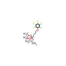 CC(C)O[Si](O)(CCCCOc1c(F)c(F)c(F)c(F)c1F)OC(C)C